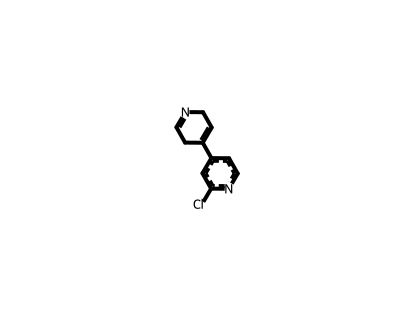 Clc1cc(C2=CCN=CC2)ccn1